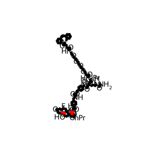 CCCC1O[C@@H]2N[C@]3(C)[C@@H]4C[C@H](F)C5=CC(=O)C=C[C@]5(C)[C@@]4(F)[C@@H](O)C[C@]3(C)[C@]2(C(=O)COC(=O)c2ccc(CNC(=O)OCc3ccc(NC(=O)[C@H](CCCNC(N)=O)NC(=O)[C@@H](NC(=O)CCOCCOCCOCCOCCNC(=O)CCC(=O)N4Cc5ccccc5C#Cc5ccccc54)C(C)C)cc3)cc2)O1